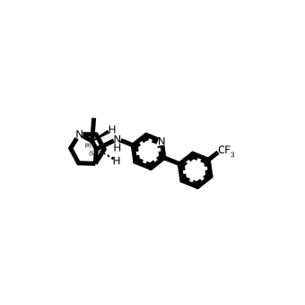 C[C@@H]1[C@@H](Nc2ccc(-c3cccc(C(F)(F)F)c3)nc2)C2CCN1CC2